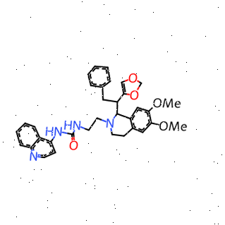 COc1cc2c(cc1OC)C(C(Cc1ccccc1)C1=COCO1)N(CCNC(=O)Nc1ccnc3ccccc13)CC2